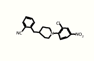 N#Cc1ccccc1CC1CCN(c2ccc([N+](=O)[O-])cc2Cl)CC1